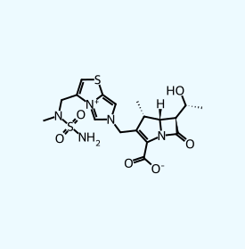 C[C@@H](O)[C@H]1C(=O)N2C(C(=O)[O-])=C(Cn3cc4scc(CN(C)S(N)(=O)=O)[n+]4c3)[C@H](C)[C@H]12